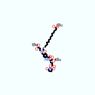 CC(C)(C)OC(=O)CCCCCCCCCCCCCCC(=O)N(CCC(=O)OC(C)(C)C)Cc1ccc(C(=O)N[C@H](CCC(=O)ON2C(=O)CCC2=O)C(=O)OC(C)(C)C)cc1